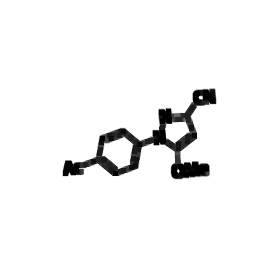 COc1cc(C#N)nn1-c1ccc(C(C)=O)cc1